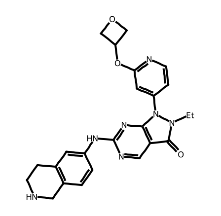 CCn1c(=O)c2cnc(Nc3ccc4c(c3)CCNC4)nc2n1-c1ccnc(OC2COC2)c1